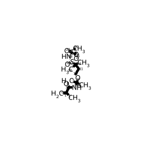 C=C(C)C(=O)NC(C)(C)OCCC(C)(C)S(=O)(=O)NS(C)(=O)=O